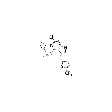 C[C@@H](Nc1nc(Cl)nc2ncn(Cc3ccc(C(F)(F)F)s3)c12)C1CCC1